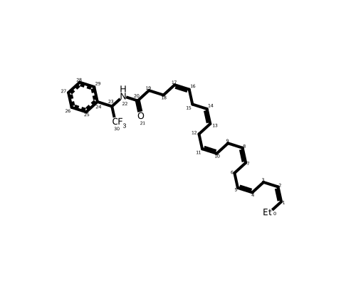 CC/C=C\C/C=C\C/C=C\C/C=C\C/C=C\C/C=C\CCC(=O)NC(c1ccccc1)C(F)(F)F